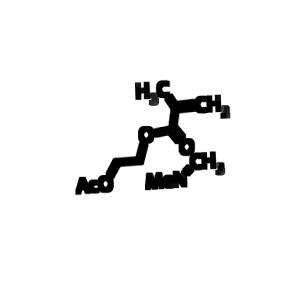 C=C(C)C(=O)OCCOC(C)=O.CNC